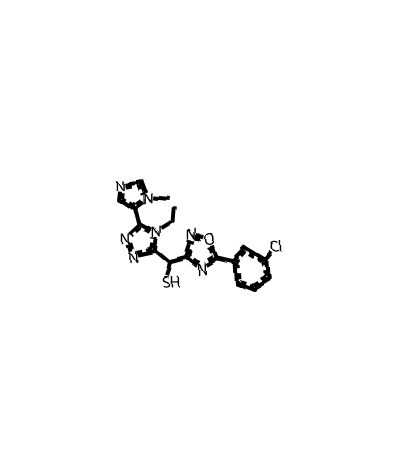 CCn1c(-c2cncn2C)nnc1C(S)c1noc(-c2cccc(Cl)c2)n1